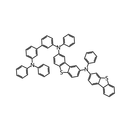 c1ccc(N(c2ccccc2)c2cccc(-c3cccc(N(c4ccccc4)c4ccc5sc6ccc(N(c7ccccc7)c7ccc8c(c7)sc7ccccc78)cc6c5c4)c3)c2)cc1